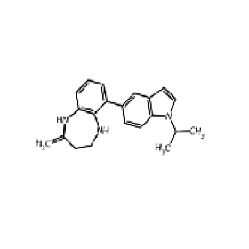 C=C1CCNc2c(cccc2-c2ccc3c(ccn3C(C)C)c2)N1